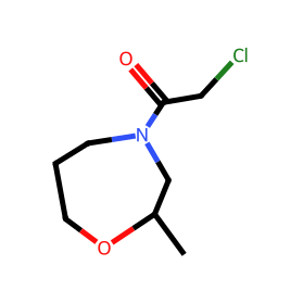 CC1CN(C(=O)CCl)CCCO1